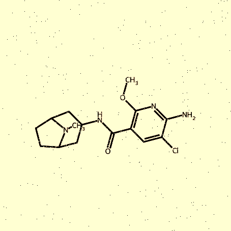 COc1nc(N)c(Cl)cc1C(=O)NC1CC2CCC(C1)N2C